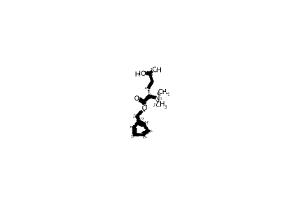 CN(C)[C@@H](CCC(O)O)C(=O)OCc1ccccc1